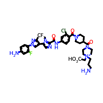 Cn1c(-c2cn(-c3ccc(N)cc3F)nc2C(F)(F)F)cnc1C(=O)Nc1ccc(C(=O)N2CCC(C(=O)N3CC[N+](CCCN)(CC(=O)O)CC3)CC2)c(Cl)c1